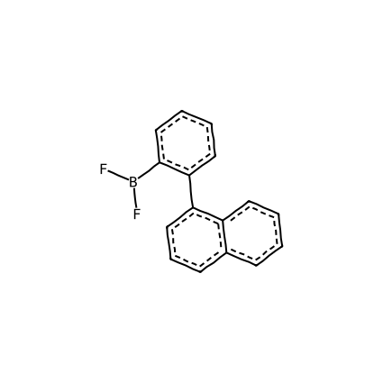 FB(F)c1ccccc1-c1cccc2ccccc12